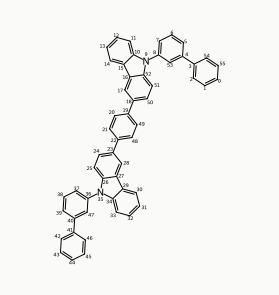 c1ccc(-c2cccc(-n3c4ccccc4c4cc(-c5ccc(-c6ccc7c(c6)c6ccccc6n7-c6cccc(-c7ccccc7)c6)cc5)ccc43)c2)cc1